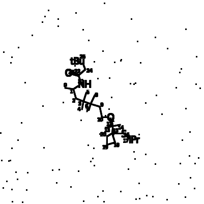 CC(CC(C)(C)C(C)(C)CCOC(C)(C)C1(SC(C)C)CCC1)NC(=O)CC(C)(C)C